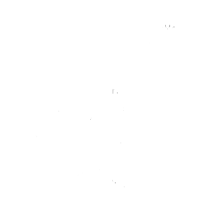 COc1ccc(NC(=O)CC2(C(C(N)=O)C3C4CC5CC(C4)CC3C5)CCCC2)cc1